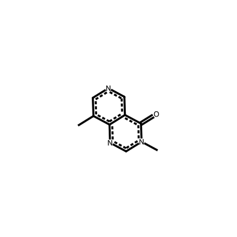 Cc1cncc2c(=O)n(C)cnc12